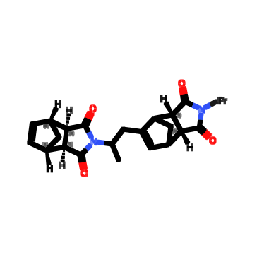 CC(C)N1C(=O)[C@@H]2C3C=C(CC(C)N4C(=O)[C@@H]5[C@H](C4=O)[C@H]4C=C[C@@H]5C4)C(C3)[C@@H]2C1=O